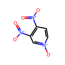 O=[N+]([O-])c1cc[n+]([O-])cc1[N+](=O)[O-]